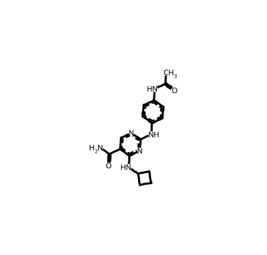 CC(=O)Nc1ccc(Nc2ncc(C(N)=O)c(NC3CCC3)n2)cc1